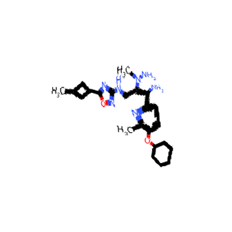 Cc1nc(/C(N)=C(\CNc2noc(C3CC(C)C3)n2)N(C)N)ccc1OC1CCCCC1